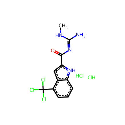 CNC(N)=NC(=O)c1cc2c(C(Cl)(Cl)Cl)cccc2[nH]1.Cl.Cl